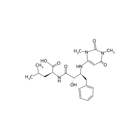 CC(C)C[C@H](NC(=O)[C@@H](O)[C@H](Cc1ccccc1)Nc1cc(=O)n(C)c(=O)n1C)C(=O)O